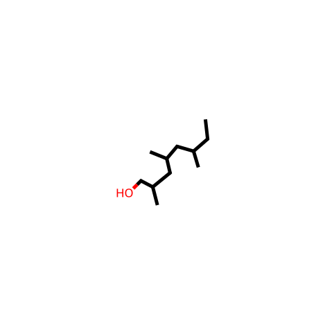 CCC(C)CC(C)CC(C)CO